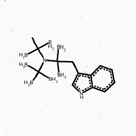 BC(B)(B)N(C(B)(B)C)C(B)(B)Cc1c[nH]c2ccccc12